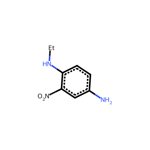 [CH2]CNc1ccc(N)cc1[N+](=O)[O-]